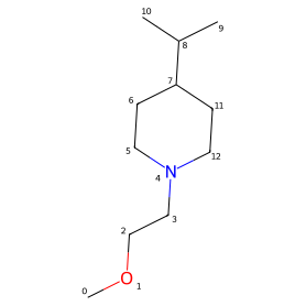 COCCN1CCC(C(C)C)CC1